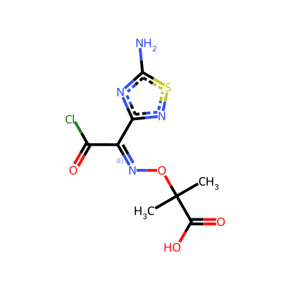 CC(C)(O/N=C(/C(=O)Cl)c1nsc(N)n1)C(=O)O